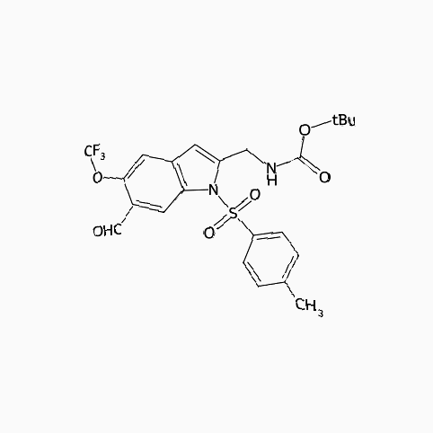 Cc1ccc(S(=O)(=O)n2c(CNC(=O)OC(C)(C)C)cc3cc(OC(F)(F)F)c(C=O)cc32)cc1